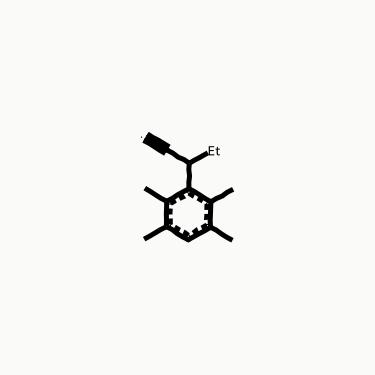 [C]#CC(CC)c1c(C)c(C)cc(C)c1C